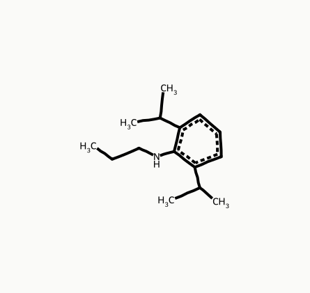 CCCNc1c(C(C)C)cccc1C(C)C